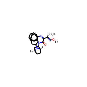 CCO/N=C(\C(=O)O)c1nc2ccccc2n([C@@H]2C[C@@H]3CC[C@H]2N3C2CC3CCCCC(C3)C2)c1=O